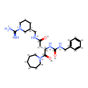 N=C(N)N1CCC[C@@H](CNC(=O)C[C@H](NC(=O)NCc2ccccc2)C(=O)N2CCCCCC2)C1